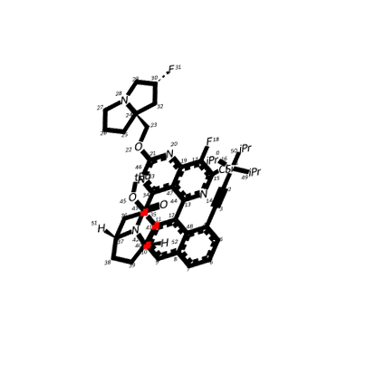 CC(C)[Si](C#Cc1cccc2cccc(-c3nc(Cl)c(F)c4nc(OC[C@@]56CCCN5C[C@H](F)C6)nc(N5C[C@H]6CC[C@@H](C5)N6C(=O)OC(C)(C)C)c34)c12)(C(C)C)C(C)C